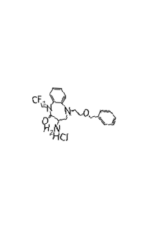 Cl.NC1CN(CCOCc2ccccc2)c2ccccc2N(CC(F)(F)F)C1=O